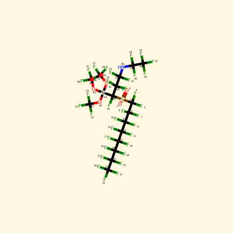 O=S(=O)(C(F)(F)C(F)(F)C(F)(F)C(F)(F)C(F)(F)C(F)(F)C(F)(F)C(F)(F)F)C(F)(C(F)(F)C(F)(F)NC(F)(F)C(F)(F)F)[Si](OC(F)(F)F)(OC(F)(F)F)OC(F)(F)F